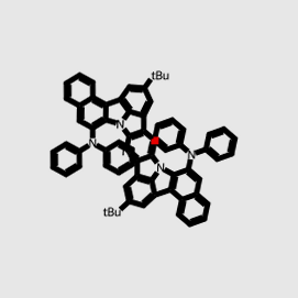 CC(C)(C)c1cc2c3nc4c(cc3n3c5c(N(c6ccccc6)c6ccccc6)cc6ccccc6c5c(c1)c23)c1cc(C(C)(C)C)cc2c3c5ccccc5cc(N(c5ccccc5)c5ccccc5)c3n4c12